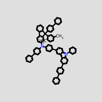 Cc1ccc(C)c(C2(c3ccc(-c4ccccc4)cc3)c3ccccc3-c3ccc(N(c4ccc(-c5ccccc5)cc4)c4ccc(-c5ccc6c(c5)c5cc(-c7ccc(-c8ccccc8)cc7)ccc5n6-c5ccccc5)cc4)cc32)c1